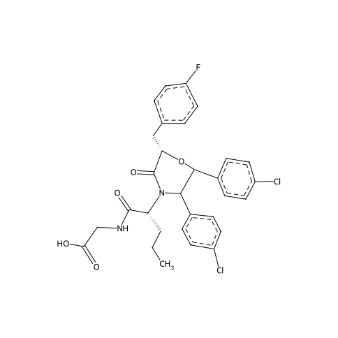 CCC[C@H](C(=O)NCC(=O)O)N1C(=O)[C@H](Cc2ccc(F)cc2)OC(c2ccc(Cl)cc2)C1c1ccc(Cl)cc1